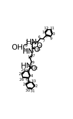 O=CC[C@H](NC(=O)CCc1ccccc1)C(=O)NCCCNC(=O)c1cccc(-c2ccccc2)c1